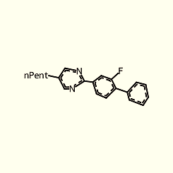 CCCCCc1cnc(-c2ccc(-c3ccccc3)c(F)c2)nc1